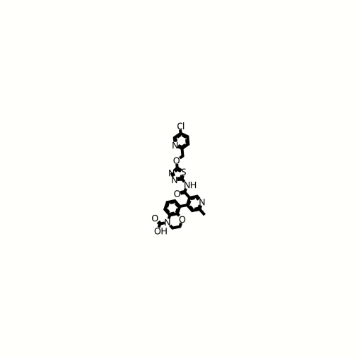 Cc1cc(-c2cccc3c2OCCN3C(=O)O)c(C(=O)Nc2nnc(OCc3ccc(Cl)cn3)s2)cn1